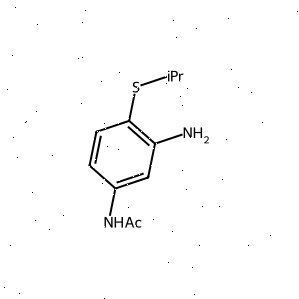 CC(=O)Nc1ccc(SC(C)C)c(N)c1